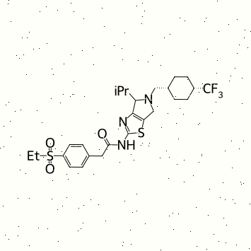 CCS(=O)(=O)c1ccc(CC(=O)Nc2nc3c(s2)CN(C[C@H]2CC[C@@H](C(F)(F)F)CC2)C3C(C)C)cc1